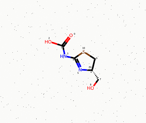 O=C(O)NC1=N[C@@H](CO)CS1